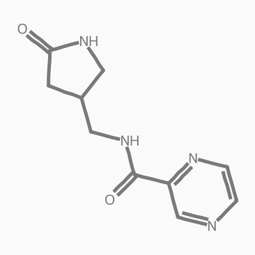 O=C1CC(CNC(=O)c2cnccn2)CN1